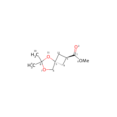 COC(=O)[C@H]1C[C@@]2(COC(C)(C)O2)C1